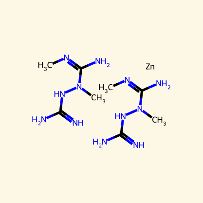 CN=C(N)N(C)NC(=N)N.CN=C(N)N(C)NC(=N)N.[Zn]